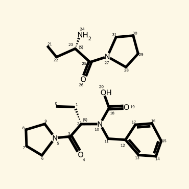 CC[C@@H](C(=O)N1CCCC1)N(Cc1ccccc1)C(=O)O.CC[C@H](N)C(=O)N1CCCC1